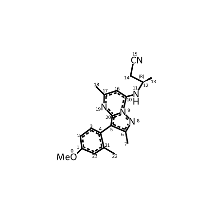 COc1ccc(-c2c(C)nn3c(N[C@H](C)CC#N)cc(C)nc23)c(C)c1